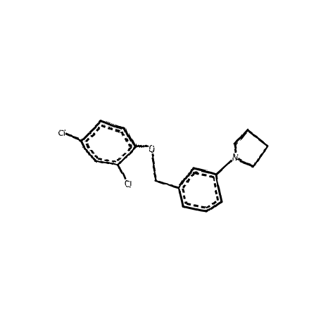 Clc1ccc(OCc2cccc(N3CCCC3)c2)c(Cl)c1